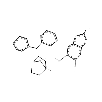 COc1cc2sc(C(C)(C)C)nc2cc1CN[C@@H]1[C@@H]2CC[N@](C2)[C@@H]1C(c1ccccc1)c1ccccc1